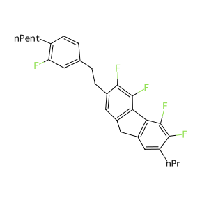 CCCCCc1ccc(CCc2cc3c(c(F)c2F)-c2c(cc(CCC)c(F)c2F)C3)cc1F